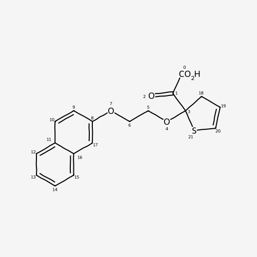 O=C(O)C(=O)C1(OCCOc2ccc3ccccc3c2)CC=CS1